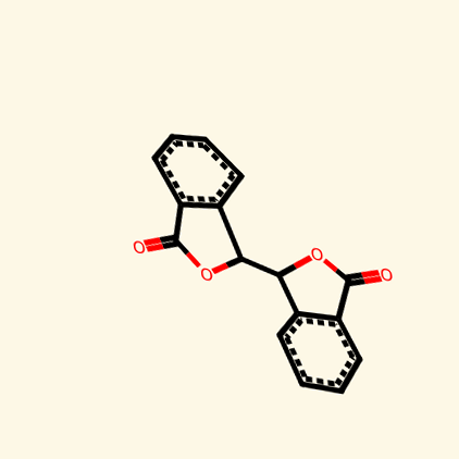 O=C1OC(C2OC(=O)c3ccccc32)c2ccccc21